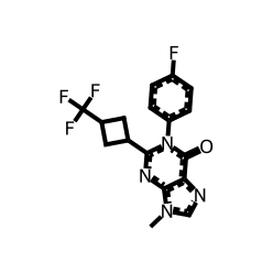 Cn1cnc2c(=O)n(-c3ccc(F)cc3)c(C3CC(C(F)(F)F)C3)nc21